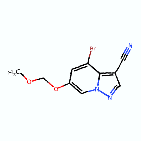 COCOc1cc(Br)c2c(C#N)cnn2c1